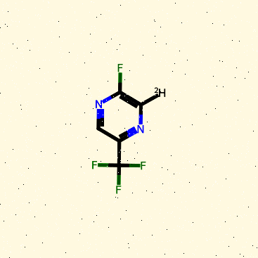 [2H]c1nc(C(F)(F)F)cnc1F